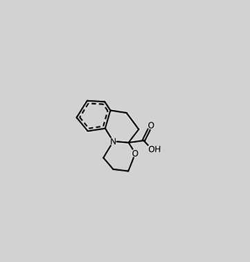 O=C(O)C12CCc3ccccc3N1CCCO2